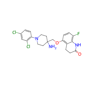 NC1(COc2ccc(F)c3c2CCC(=O)N3)CCN(c2ccc(Cl)cc2Cl)CC1